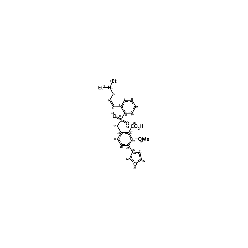 CCN(CC)C/C=C\c1ccccc1S(=O)(=O)Cc1ccc(-c2ccoc2)c(OC)c1C(=O)O